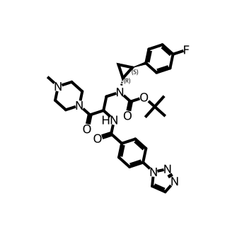 CN1CCN(C(=O)C(CN(C(=O)OC(C)(C)C)[C@@H]2C[C@H]2c2ccc(F)cc2)NC(=O)c2ccc(-n3ccnn3)cc2)CC1